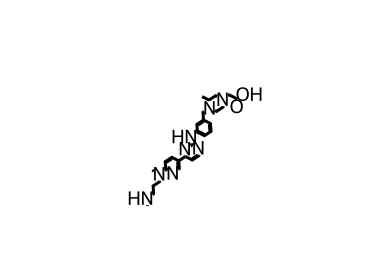 CNCCCN(C)c1ccc(-c2ccnc(Nc3cccc(CN4CCN(CC(=O)O)CC4C)c3)n2)cn1